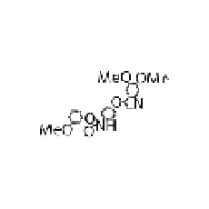 COc1cccc(OC(=O)Nc2ccc(Oc3ccnc4cc(OC)c(OC)cc34)cc2)c1